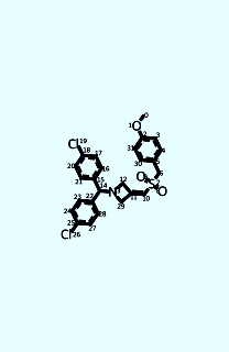 COc1ccc(CS(=O)(=O)C=C2CN(C(c3ccc(Cl)cc3)c3ccc(Cl)cc3)C2)cc1